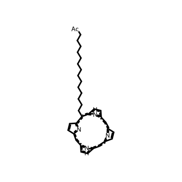 CC(=O)CCCCCCCCCCCCCCc1c2nc(cc3ccc(cc4nc(cc5ccc1[nH]5)C=C4)[nH]3)C=C2